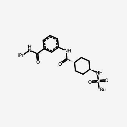 CC(C)NC(=O)c1cccc(NC(=O)[C@H]2CC[C@H](NS(=O)(=O)C(C)(C)C)CC2)c1